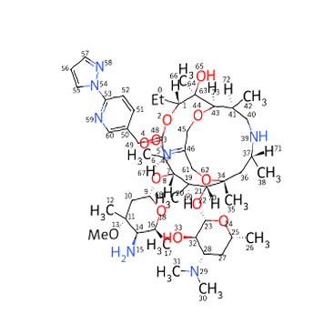 CC[C@H]1OC(=O)[C@H](C)[C@@H](O[C@H]2C[C@@](C)(OC)[C@H](N)[C@H](C)O2)[C@H](C)[C@@H](O[C@@H]2O[C@H](C)C[C@H](N(C)C)[C@H]2O)[C@@]2(C)C[C@@H](C)NC[C@H](C)[C@@H](OC/C(=N\OCc3ccc(-n4cccn4)nc3)CO2)[C@]1(C)O